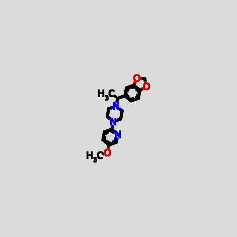 COc1ccc(N2CCN([C@@H](C)c3ccc4c(c3)OCO4)CC2)nc1